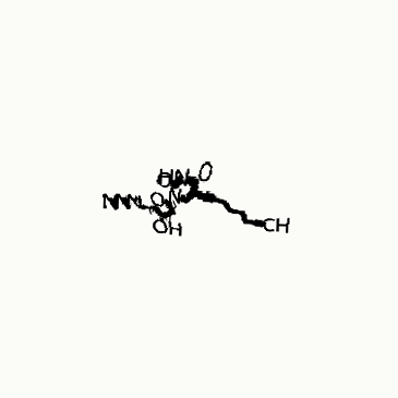 C#CCCCCC#Cc1cn([C@H]2C[C@@H](O)[C@@H](CN=[N+]=[N-])O2)c(=O)[nH]c1=O